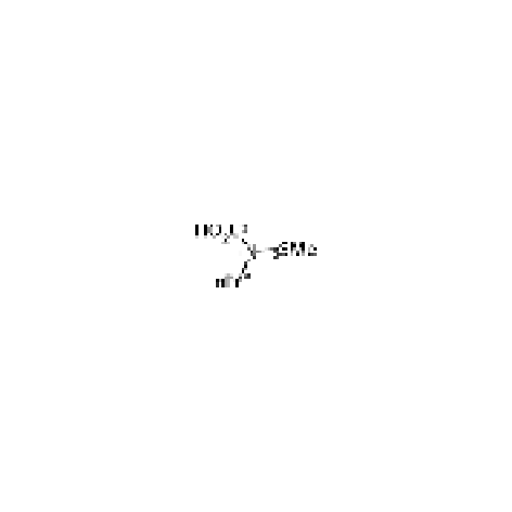 CCCN(SC)C(=O)O